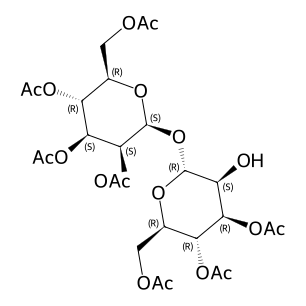 CC(=O)OC[C@H]1O[C@@H](O[C@H]2O[C@H](COC(C)=O)[C@@H](OC(C)=O)[C@H](OC(C)=O)[C@@H]2O)[C@@H](OC(C)=O)[C@@H](OC(C)=O)[C@@H]1OC(C)=O